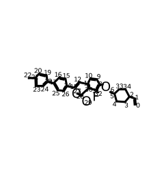 C=CC1CCC(COc2ccc3cc(-c4ccc(-c5ccc(C)cc5)cc4)oc(=O)c3c2F)CC1